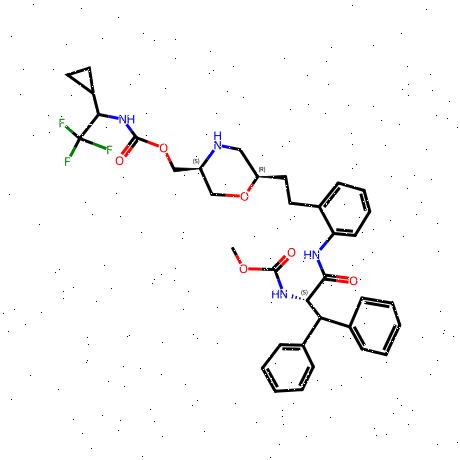 COC(=O)N[C@H](C(=O)Nc1ccccc1CC[C@@H]1CN[C@H](COC(=O)NC(C2CC2)C(F)(F)F)CO1)C(c1ccccc1)c1ccccc1